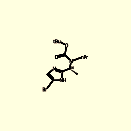 CCCN(C(=O)OC(C)(C)C)[C@H](C)c1ncc(Br)[nH]1